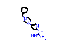 N=C(N)Nc1ccc(N2CCN(Cc3ccccc3)CC2)cn1